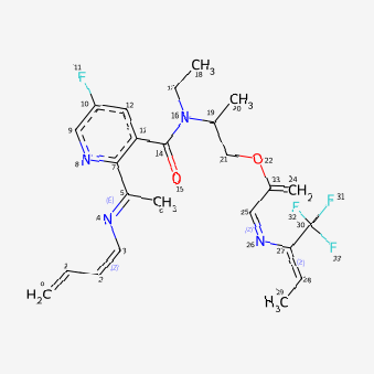 C=C/C=C\N=C(/C)c1ncc(F)cc1C(=O)N(CC)C(C)COC(=C)/C=N\C(=C/C)C(F)(F)F